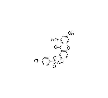 O=c1c2cc(NS(=O)(=O)c3ccc(Cl)cc3)ccc2oc2cc(O)cc(O)c12